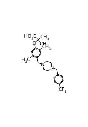 Cc1cc(OC(C)(C)C(=O)O)c(C)cc1CN1CCN(Cc2ccc(C(F)(F)F)cc2)CC1